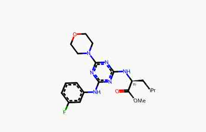 COC(=O)[C@H](CC(C)C)Nc1nc(Nc2cccc(F)c2)nc(N2CCOCC2)n1